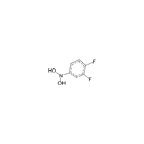 ON(O)c1ccc(F)c(F)c1